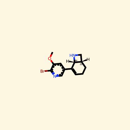 COc1cc(C2=CCC[C@H]3CN[C@@H]23)cnc1Br